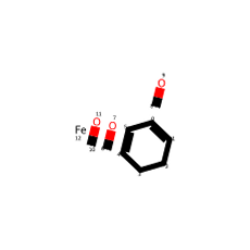 C1=CCCC=C1.[C]=O.[C]=O.[C]=O.[Fe]